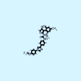 Cc1cc(C)c(C2=C(NC(=O)Nc3ccc(-c4ncn(-c5ccc(OC(F)(F)F)cc5)n4)cc3)OCC2=O)c(Cl)c1